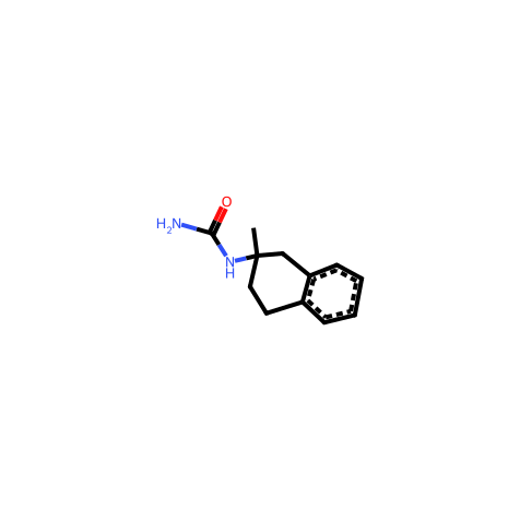 CC1(NC(N)=O)CCc2ccccc2C1